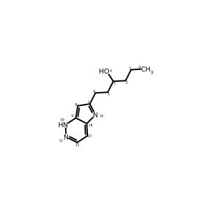 CCCC(O)CCc1cc2[nH]nccc-2n1